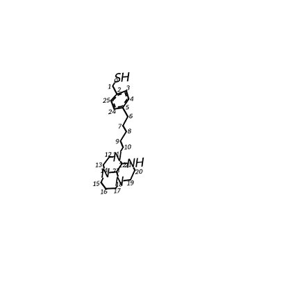 SCc1ccc(CCCCCN2CCN3CCCN4CCNC2C43)cc1